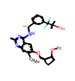 CCOC1CCC1COc1cc2c(N[C@H](C)c3cccc(C(F)(F)C(C)(C)O)c3)nc(C)nc2cc1OC